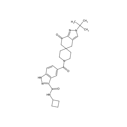 CC(C)(C)n1cc2c(n1)C(=O)CC1(CCN(C(=O)c3ccc4[nH]nc(C(=O)NC5CCC5)c4c3)CC1)C2